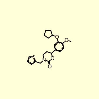 COc1ccc(C2CCN(Cc3cccs3)C(=O)O2)cc1OC1CCCC1